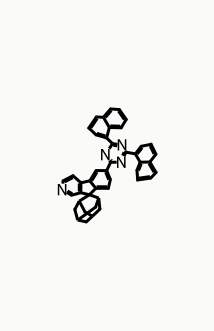 c1ccc2c(-c3nc(-c4ccc5c(c4)-c4ccncc4C54C5CC6CC(C5)CC4C6)nc(-c4cccc5ccccc45)n3)cccc2c1